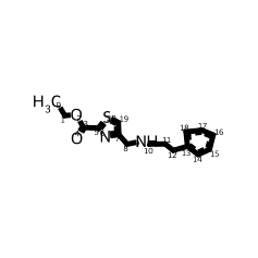 CCOC(=O)c1nc(CNCCCc2ccccc2)cs1